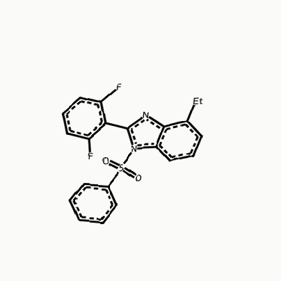 CCc1cccc2c1nc(-c1c(F)cccc1F)n2S(=O)(=O)c1ccccc1